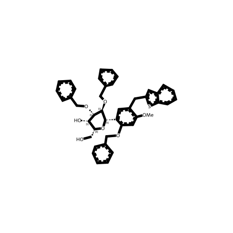 COc1cc(OCc2ccccc2)c([C@@H]2O[C@H](CO)[C@H](O)[C@H](OCc3ccccc3)[C@H]2OCc2ccccc2)cc1Cc1cc2ccccc2s1